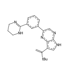 C=C(c1c[nH]c2ncc(-c3cccc(C4=NCCCN4)c3)nc12)C(C)(C)C